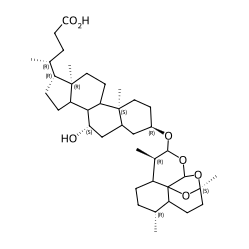 C[C@H]1C(O[C@@H]2CC[C@@]3(C)C(C2)C[C@H](O)C2C3CC[C@@]3(C)C2CC[C@@H]3[C@H](C)CCC(=O)O)OC2O[C@@]3(C)CCC4[C@H](C)CCC1C24O3